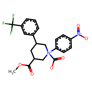 COC(=O)C1CC(c2cccc(C(F)(F)F)c2)C[N+](C(=O)[O-])(c2ccc([N+](=O)[O-])cc2)C1